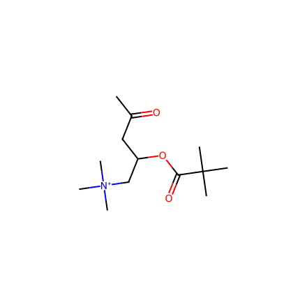 CC(=O)CC(C[N+](C)(C)C)OC(=O)C(C)(C)C